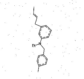 CC=CCc1cccc(N(CC)Cc2ccc(C)cc2)c1